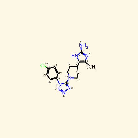 Cc1nc(N)[nH]c1C1CCN(c2nnnn2-c2ccc(Cl)cc2)CC1